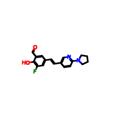 O=Cc1cc(/C=C/c2ccc(N3CCCC3)nc2)cc(F)c1O